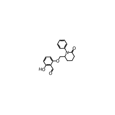 O=Cc1c(O)cccc1OCC1CCCC(=O)N1c1ccccc1